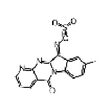 Cc1ccc2c(c1)C(=NO[SH](=O)=O)c1nc3ncccc3c(=O)n1-2